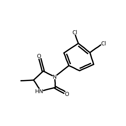 CC1NC(=O)N(c2ccc(Cl)c(Cl)c2)C1=O